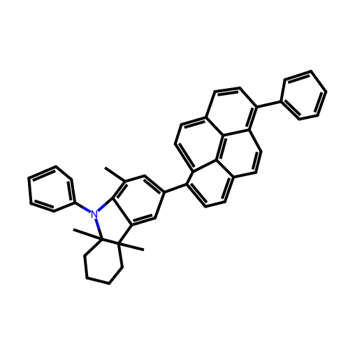 Cc1cc(-c2ccc3ccc4c(-c5ccccc5)ccc5ccc2c3c54)cc2c1N(c1ccccc1)C1(C)CCCCC21C